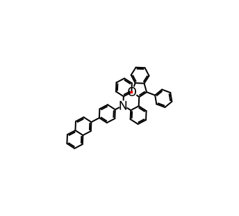 c1ccc(-c2c(-c3ccccc3N(c3ccccc3)c3ccc(-c4ccc5ccccc5c4)cc3)oc3ccccc23)cc1